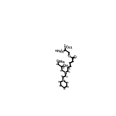 CCCCCCCCC(CCCCCC)COC(=O)CCCCCN(CCN1CCCCC1)CC(O)COC